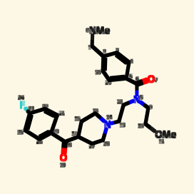 CNCc1ccc(C(=O)N(CCOC)CCN2CCC(C(=O)c3ccc(F)cc3)CC2)cc1